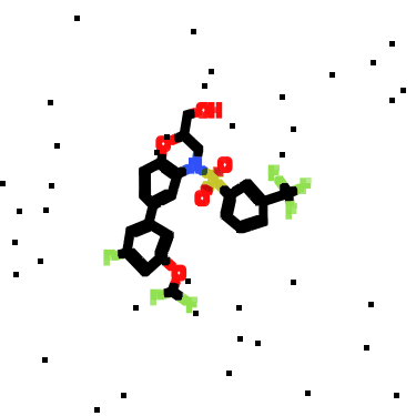 O=S(=O)(c1cccc(C(F)(F)F)c1)N1CC(CO)Oc2ccc(-c3cc(F)cc(OC(F)F)c3)cc21